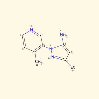 CCc1cc(N)n(-c2cnccc2C)n1